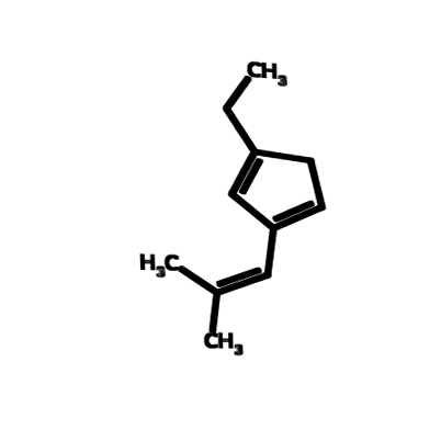 CCC1=CC(C=C(C)C)=CC1